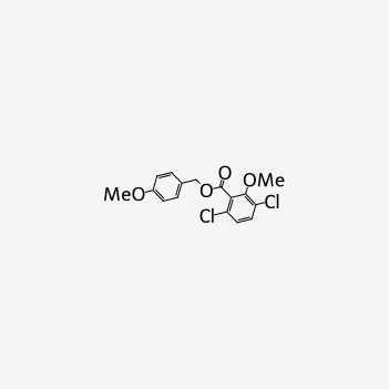 COc1ccc(COC(=O)c2c(Cl)ccc(Cl)c2OC)cc1